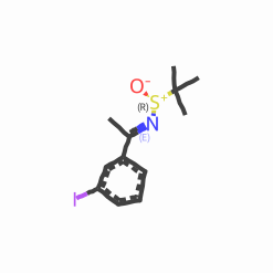 C/C(=N\[S@@+]([O-])C(C)(C)C)c1cccc(I)c1